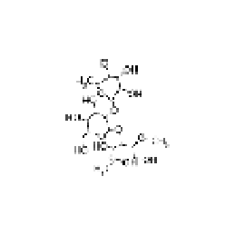 COC(CO)C(OC1OC(CO)C(O)C(O)C1OC1OC(C)C(O)C(O)C1O)C(O)[C@@H](C)O